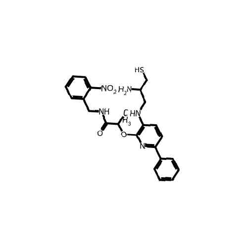 CC(Oc1nc(-c2ccccc2)ccc1NCC(N)CS)C(=O)NCc1ccccc1[N+](=O)[O-]